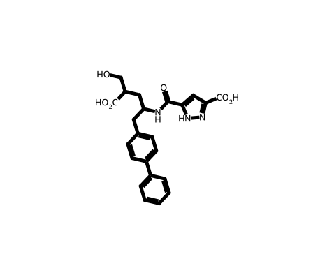 O=C(O)c1cc(C(=O)NC(Cc2ccc(-c3ccccc3)cc2)CC(CO)C(=O)O)[nH]n1